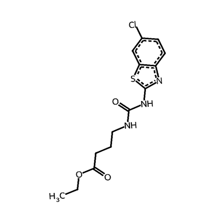 CCOC(=O)CCCNC(=O)Nc1nc2ccc(Cl)cc2s1